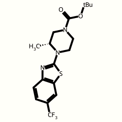 C[C@@H]1CN(C(=O)OC(C)(C)C)CCN1c1nc2ccc(C(F)(F)F)cc2s1